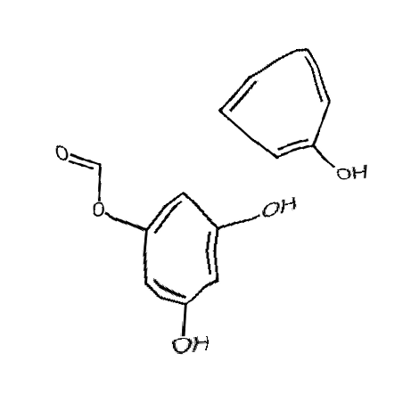 O=COc1cc(O)cc(O)c1.Oc1ccccc1